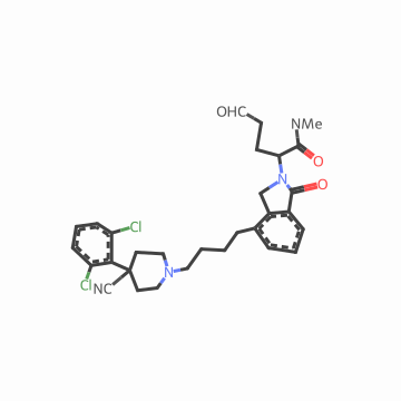 CNC(=O)C(CCC=O)N1Cc2c(CCCCN3CCC(C#N)(c4c(Cl)cccc4Cl)CC3)cccc2C1=O